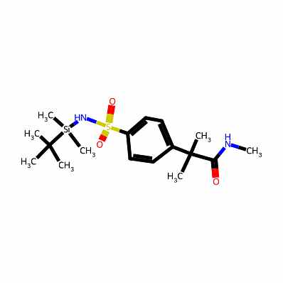 CNC(=O)C(C)(C)c1ccc(S(=O)(=O)N[Si](C)(C)C(C)(C)C)cc1